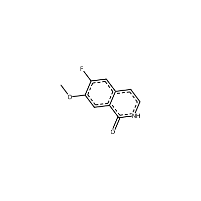 COc1cc2c(=O)[nH]ccc2cc1F